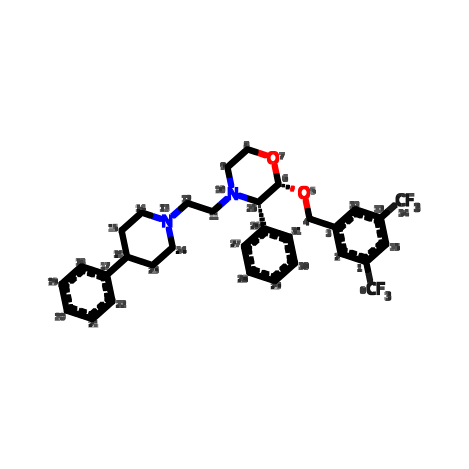 FC(F)(F)c1cc(CO[C@H]2OCCN(CCN3CCC(c4ccccc4)CC3)[C@H]2c2ccccc2)cc(C(F)(F)F)c1